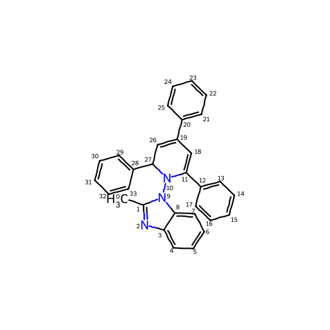 Cc1nc2ccccc2n1N1C(c2ccccc2)=CC(c2ccccc2)=CC1c1ccccc1